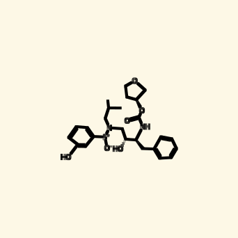 CC(C)CN(C[C@@H](O)[C@H](Cc1ccccc1)NC(=O)O[C@H]1CCOC1)[S+]([O-])c1cccc(O)c1